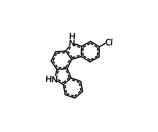 Clc1ccc2c(c1)[nH]c1ccc3[nH]c4ccccc4c3c12